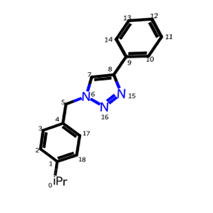 CC(C)c1ccc(Cn2cc(-c3ccccc3)nn2)cc1